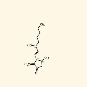 C=C1C(=O)C[C@H](O)[C@H]1C=C[C@@H](O)CCCCC